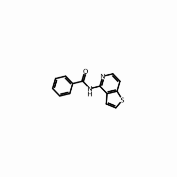 O=C(Nc1nccc2sccc12)c1ccccc1